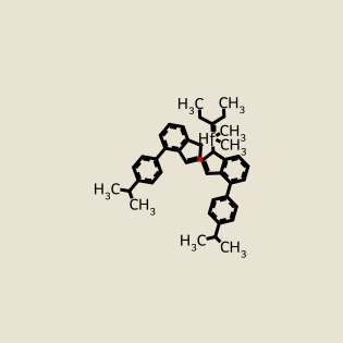 CC[C](CC)=[Hf]([CH3])([CH3])([CH]1C=Cc2c(-c3ccc(C(C)C)cc3)cccc21)[CH]1C=Cc2c(-c3ccc(C(C)C)cc3)cccc21